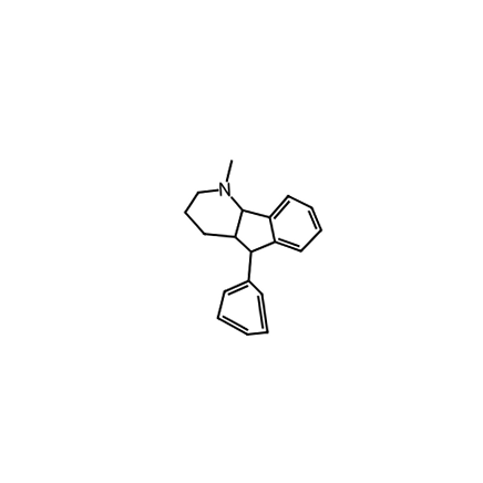 CN1CCCC2C(c3ccccc3)c3ccccc3C21